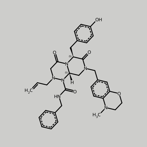 C=CCN1CC(=O)N2[C@@H](Cc3ccc(O)cc3)C(=O)N(Cc3ccc4c(c3)OCCN4C)C[C@@H]2N1C(=O)NCc1ccccc1